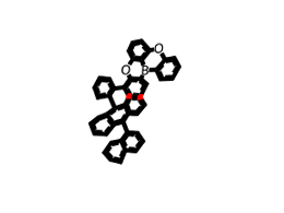 c1ccc2c(c1)Oc1cccc3c1B2c1cccc(-c2ccccc2-c2c4ccccc4c(-c4cccc5ccccc45)c4ccccc24)c1O3